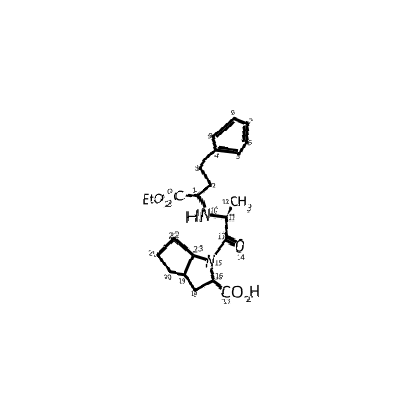 CCOC(=O)C(CCc1ccccc1)N[C@@H](C)C(=O)N1C(C(=O)O)CC2CCCC21